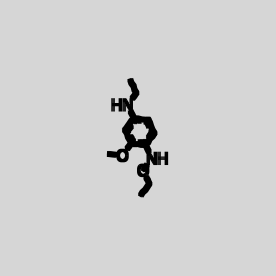 CCNc1ccc(NOCC)c(OC)c1